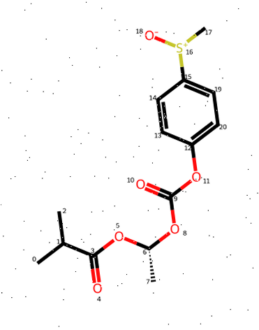 CC(C)C(=O)O[C@@H](C)OC(=O)Oc1ccc([S+](C)[O-])cc1